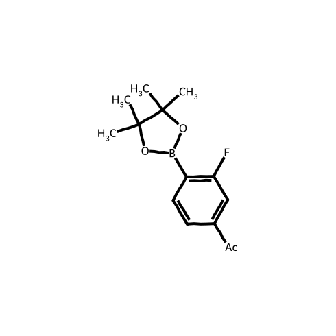 CC(=O)c1ccc(B2OC(C)(C)C(C)(C)O2)c(F)c1